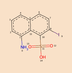 Nc1cccc2ccc(I)c(S(=O)(=O)O)c12